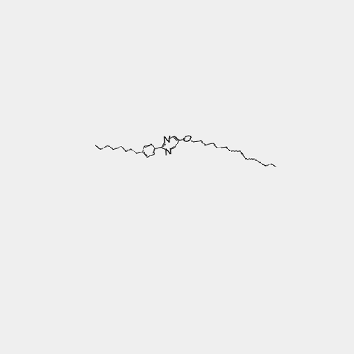 CCCCCCCCCCCCCOc1cnc(-c2ccc(CCCCCCCC)cc2)nc1